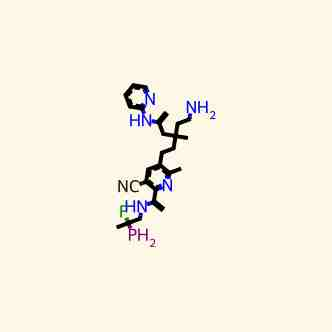 C=C(CC(C)(CCN)CCc1cc(C#N)c(C(=C)NCC(C)(F)P)nc1C)Nc1ccccn1